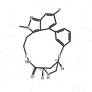 Cn1nc2cc(F)cc3c2c1CCCNC(=O)[C@@H]1C[C@@H](CN1)Oc1cccc-3c1